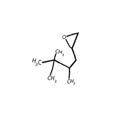 CC(CC1CO1)C(C)(C)C